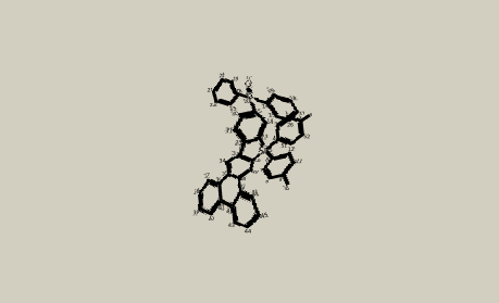 Cc1ccc([Si]2(c3ccc(C)cc3)c3cc(P(=O)(c4ccccc4)c4ccccc4)ccc3-c3cc4c5ccccc5c5ccccc5c4cc32)cc1